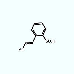 CC(=O)/C=C/c1ccccc1S(=O)(=O)O